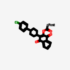 CCCCCC(=O)OC1=C(C2CCC(c3ccc(Cl)cc3)CC2)C(=O)c2ccccc2C1=O